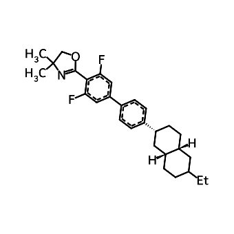 CCC1CC[C@@H]2C[C@H](c3ccc(-c4cc(F)c(C5=NC(C)(C)CO5)c(F)c4)cc3)CC[C@@H]2C1